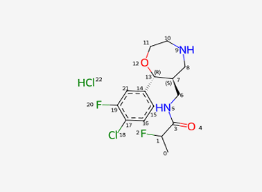 CC(F)C(=O)NC[C@@H]1CNCCO[C@H]1c1ccc(Cl)c(F)c1.Cl